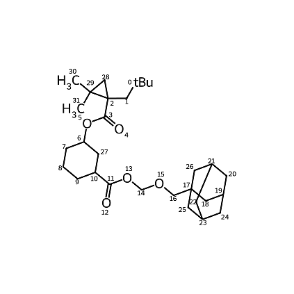 CC(C)(C)CC1(C(=O)OC2CCCC(C(=O)OCOCC34CC5CC(CC(C5)C3)C4)C2)CC1(C)C